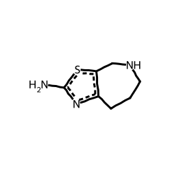 Nc1nc2c(s1)CNCCC2